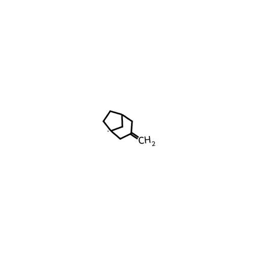 C=C1C[C]2CCC(C2)C1